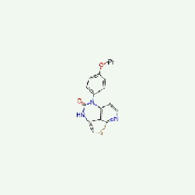 CC(C)Oc1ccc(N2C(=O)Nc3csc4nccc2c34)cc1